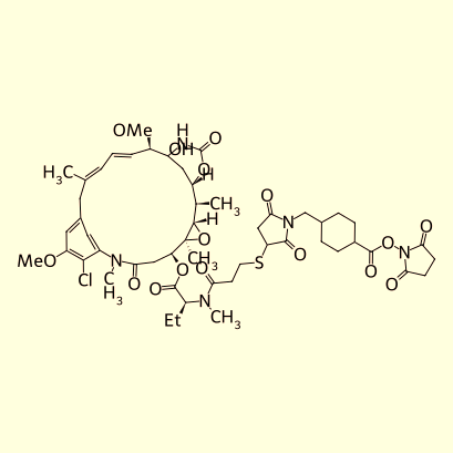 CC[C@@H](C(=O)O[C@H]1CC(=O)N(C)c2cc(cc(OC)c2Cl)C/C(C)=C/C=C/[C@@H](OC)[C@@]2(O)C[C@H](OC(=O)N2)[C@@H](C)[C@@H]2O[C@@]12C)N(C)C(=O)CCSC1CC(=O)N(CC2CCC(C(=O)ON3C(=O)CCC3=O)CC2)C1=O